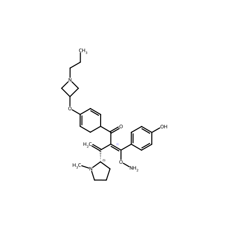 C=C(/C(C(=O)C1C=CC(OC2CN(CCC)C2)=CC1)=C(\ON)c1ccc(O)cc1)[C@@H]1CCCN1C